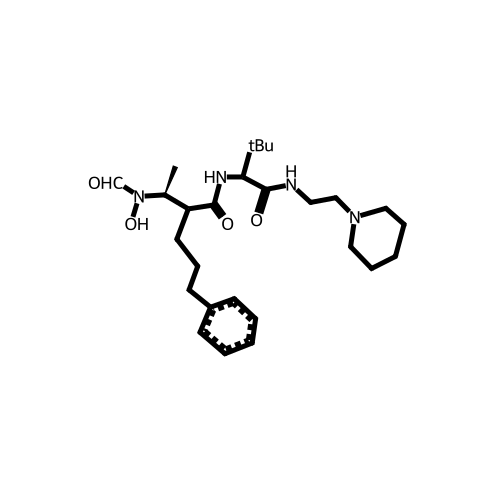 C[C@@H](C(CCCc1ccccc1)C(=O)NC(C(=O)NCCN1CCCCC1)C(C)(C)C)N(O)C=O